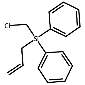 C=CC[Si](CCl)(c1ccccc1)c1ccccc1